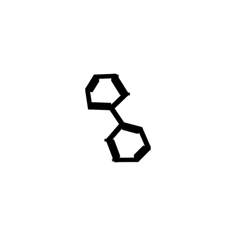 [c]1[c]c(-c2[c][c]ccc2)ccc1